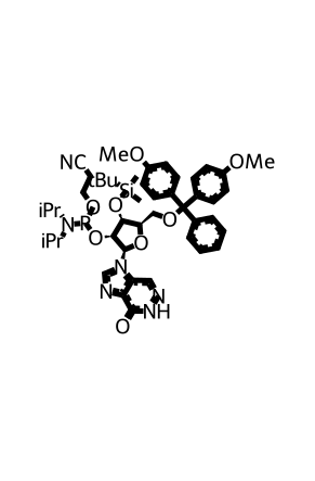 COc1ccc(C(OC[C@H]2O[C@@H](n3cnc4c(=O)[nH]ncc43)[C@H](OP(OCCC#N)N(C(C)C)C(C)C)[C@@H]2O[Si](C)(C)C(C)(C)C)(c2ccccc2)c2ccc(OC)cc2)cc1